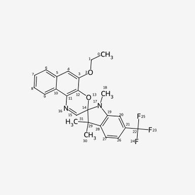 CCOc1cc2ccccc2c2c1OC1(C=N2)N(C)c2cc(C(F)(F)F)ccc2C1(C)C